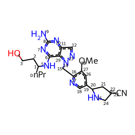 CCCC(CCO)Nc1nc(N)nc2cnn(Cc3ncc(C4C[C@@H](C#N)CN4)cc3OC)c12